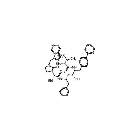 CN(C(=O)O)[C@H](C(=O)N[C@@H](Cc1ccc(-c2ccccn2)cc1)[C@H](O)C[C@H](Cc1ccccc1)NC(=O)[C@@H](N1CCN(Cc2ncc3ccncn23)C1=O)C(C)(C)C)C(C)(C)C